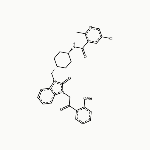 COc1ccccc1C(=O)Cn1c(=O)n(C[C@H]2CC[C@H](NC(=O)c3cc(Cl)cnc3C)CC2)c2ccccc21